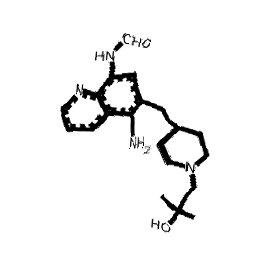 CC(C)(O)CN1CCC(Cc2cc(NC=O)c3ncccc3c2N)CC1